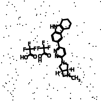 CN1C[C@H]2CN(c3ccc(-c4ccc5[nH]c6c(c5c4)CCCC6)nn3)C[C@H]21.O=C(O)C(F)(F)F.O=C(O)C(F)(F)F